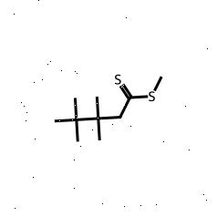 CSC(=S)CC(C)(C)C(C)(C)C